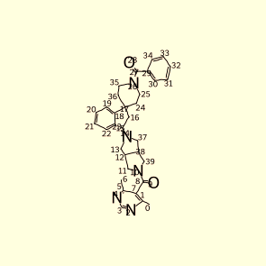 Cc1ncnc(C)c1C(=O)N1CC2CN(CCC3(c4ccccc4)CCN(C(=O)c4ccccc4)CC3)CC2C1